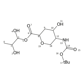 CC(O)C(O)OC(=O)C1CC(O)C(NC(=O)OC(C)(C)C)CO1